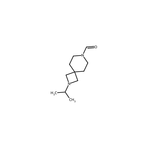 CC(C)N1CC2(CCN(C=O)CC2)C1